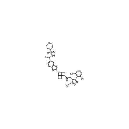 O=C(NS(=O)(=O)N1CCOCC1)c1ccc2nc(N3C4CCC45C(NCc4c(-c6c(Cl)cccc6Cl)noc4C4CC4)CC35)sc2c1